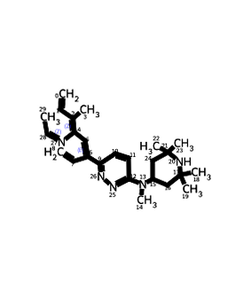 C=C/C(C)=C(/C=C(\C=C)c1ccc(N(C)C2CC(C)(C)NC(C)(C)C2)nn1)\N=C/C